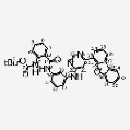 CC(C)(C)OC(=O)Nc1ccccc1C(=O)Nc1cccc(Nc2cc(-c3cccc4c3oc3ccccc34)ncn2)c1